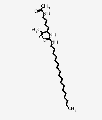 CCCCCCCCCCCCCCCCCCNC(=O)NC(CCCCNC(C)=O)C(C)=O